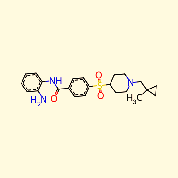 CC1(CN2CCC(S(=O)(=O)c3ccc(C(=O)Nc4ccccc4N)cc3)CC2)CC1